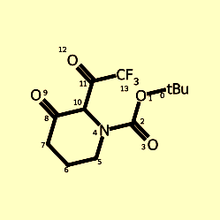 CC(C)(C)OC(=O)N1CCCC(=O)C1C(=O)C(F)(F)F